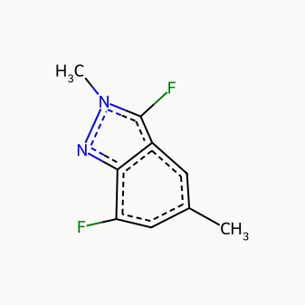 Cc1cc(F)c2nn(C)c(F)c2c1